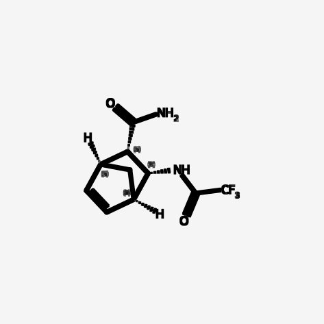 NC(=O)[C@@H]1[C@H](NC(=O)C(F)(F)F)[C@H]2C=C[C@@H]1C2